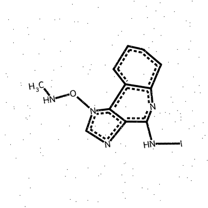 CNOn1cnc2c(NI)nc3ccccc3c21